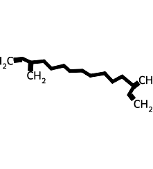 C=CC(=C)CCCCCCCCCC(=C)C=C